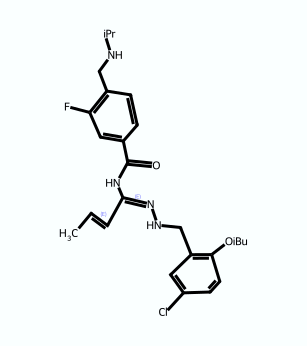 C/C=C/C(=N\NCc1cc(Cl)ccc1OCC(C)C)NC(=O)c1ccc(CNC(C)C)c(F)c1